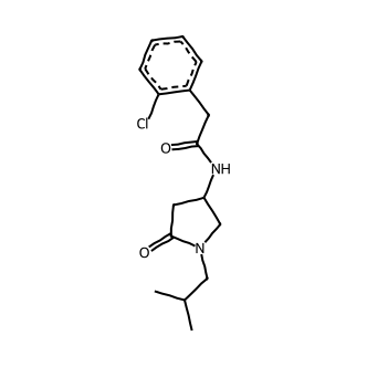 CC(C)CN1CC(NC(=O)Cc2ccccc2Cl)CC1=O